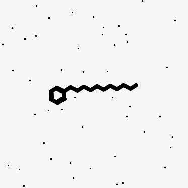 CCCCCCCCCCCc1[c]cccc1